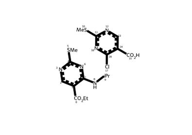 CCOC(=O)c1cnc(SC)nc1NC(C)C.CSc1ncc(C(=O)O)c(Cl)n1